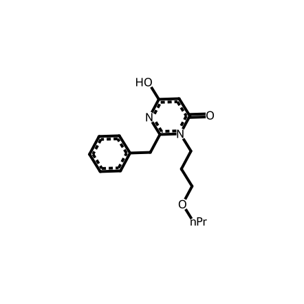 CCCOCCCn1c(Cc2ccccc2)nc(O)cc1=O